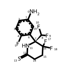 Nc1ccc(F)c([C@@]2(C(F)F)NC(=S)CCC2(F)F)c1